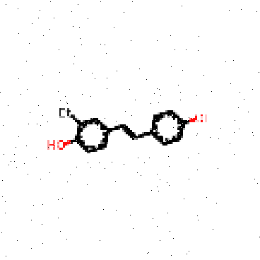 CCc1cc(/C=C/c2ccc(O)cc2)ccc1O